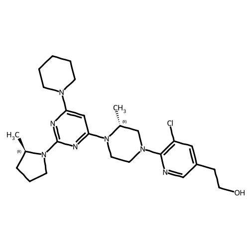 C[C@@H]1CN(c2ncc(CCO)cc2Cl)CCN1c1cc(N2CCCCC2)nc(N2CCC[C@H]2C)n1